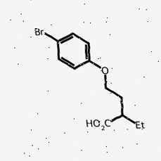 CCC(CCOc1ccc(Br)cc1)C(=O)O